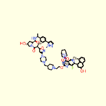 CCc1cccc2cc(O)cc(-c3ncc4c(N5CC6CCC(C5)N6C(=O)OC(C)(C)C)nc(OCCN5CCC(CN6CCN(c7cc(C(C(=O)N8C[C@H](O)C[C@H]8C(=O)NC(C)c8ccc(-c9ccnn9C)cc8)C(C)C)on7)CC6)CC5)nc4c3F)c12